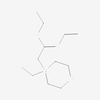 CCOC(C[N+]1(CC)CCOCC1)OCC